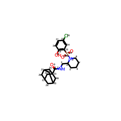 O=C(NCC1CCCCN1S(=O)(=O)c1cc(Cl)ccc1O)C12CC3CC(CC(C3)C1)C2